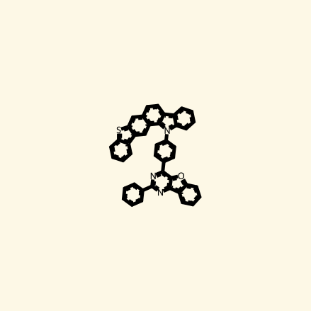 c1ccc(-c2nc(-c3ccc(-n4c5ccccc5c5ccc6cc7sc8ccccc8c7cc6c54)cc3)c3oc4ccccc4c3n2)cc1